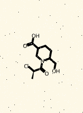 C[C@@H](Cl)C(=O)N1CC(C(=O)O)CCC1CO